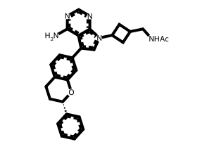 CC(=O)NCC1CC(n2cc(-c3ccc4c(c3)O[C@H](c3ccccc3)CC4)c3c(N)ncnc32)C1